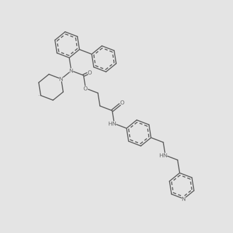 O=C(CCOC(=O)N(c1ccccc1-c1ccccc1)N1CC[CH]CC1)Nc1ccc(CNCc2ccncc2)cc1